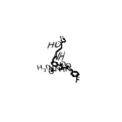 CN1C(=O)Cn2cc(C(=O)NCc3ccc(F)cc3)c(=O)c3cc(CNCC[C@H](O)c4cccnc4)cc1c32